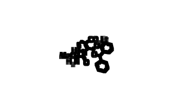 CCOC(=O)C1=C(C(=O)OC(c2ccccc2)c2ccccc2)N2C(=O)C(N)(OC)[C@@H]2SC1